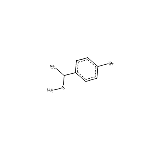 CCC(SS)c1ccc(C(C)C)cc1